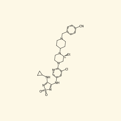 CC[C@H]1CN(c2ncc(NC3=NS(=O)(=O)N=C3NC3CC3)cc2Cl)CCN1C1CCN(Cc2ccc(C#N)cc2)CC1